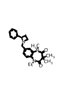 CCN1C(=O)C(C)(C)C(=O)N(C)c2cc(CN3CCC3c3ccccc3)ccc21